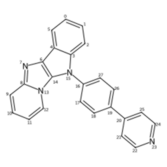 c1ccc2c(c1)c1nc3ccccn3c1n2-c1ccc(-c2ccncc2)cc1